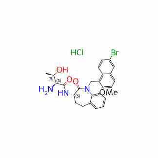 COc1ccc2cc(Br)ccc2c1CN1C(=O)[C@@H](NC(=O)[C@@H](N)[C@@H](C)O)CCc2ccccc21.Cl